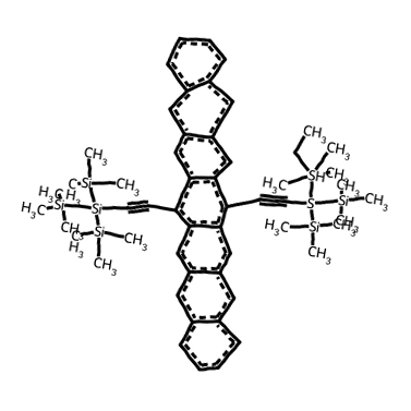 CC[SH](C)(C)(C)S(C#Cc1c2cc3cc4ccccc4cc3cc2c(C#C[Si]([Si](C)(C)C)([Si](C)(C)C)[Si](C)(C)C)c2cc3cc4ccccc4cc3cc12)([Si](C)(C)C)[Si](C)(C)C